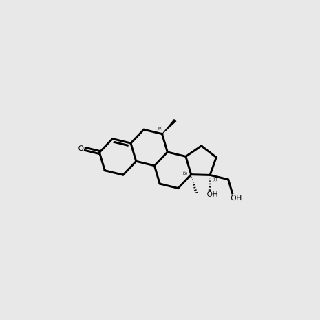 C[C@@H]1CC2=CC(=O)CCC2C2CC[C@@]3(C)C(CC[C@@]3(O)CO)C21